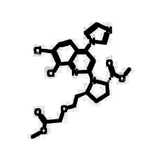 COC(=O)COCC[C@@H]1CC[C@@H](C(=O)OC)N1c1cc(-n2ccnc2)c2ccc(Cl)c(Cl)c2n1